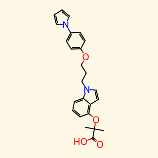 CC(C)(Oc1cccc2c1ccn2CCCOc1ccc(-n2cccc2)cc1)C(=O)O